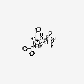 O=CO[C@H]1[C@@H](O)[C@H](n2cnc3c(NCC(c4ccccc4)c4ccccc4)nc(NCCc4ccccn4)nc32)O[C@@H]1c1nnc[nH]1